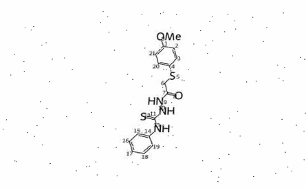 COc1ccc(SCC(=O)NNC(=S)Nc2ccccc2)cc1